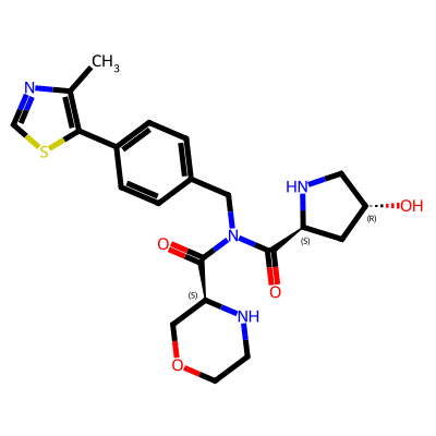 Cc1ncsc1-c1ccc(CN(C(=O)[C@@H]2COCCN2)C(=O)[C@@H]2C[C@@H](O)CN2)cc1